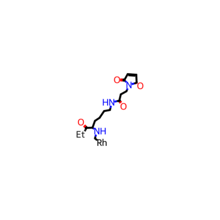 CCC(=O)C(CCCCNC(=O)CCN1C(=O)C=CC1=O)N[CH2][Rh]